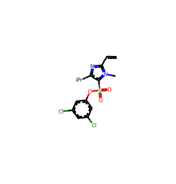 C=Cc1nc(C(C)C)c(S(=O)(=O)Oc2cc(Cl)cc(Cl)c2)n1C